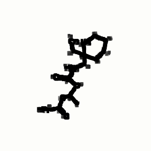 CCCC(=O)OC(C)OC(=O)NCC1(CC(=O)O)CCCCC1